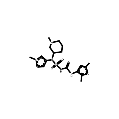 Cc1cc(NC(=O)NS(=O)(=O)N(c2cnn(C)c2)C2CCCN(C)C2)c(C)s1